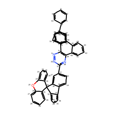 c1ccc(-c2ccc(-c3nnc(-c4ccc5c(c4)C4(c6ccccc6Oc6ccccc64)c4ccccc4-5)nc3-c3ccccc3-c3ccccc3)cc2)cc1